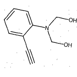 C#Cc1ccccc1N(CO)CO